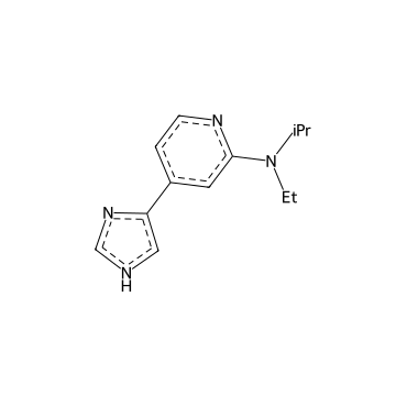 CCN(c1cc(-c2c[nH]cn2)ccn1)C(C)C